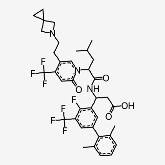 Cc1cccc(C)c1-c1cc(C(CC(=O)O)NC(=O)C(CC(C)C)n2cc(CCN3CC4(CC4)C3)c(C(F)(F)F)cc2=O)c(F)c(C(F)(F)F)c1